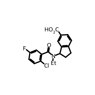 CCN(C(=O)c1cc(F)ccc1Cl)C1CCc2ccc(C(=O)O)cc21